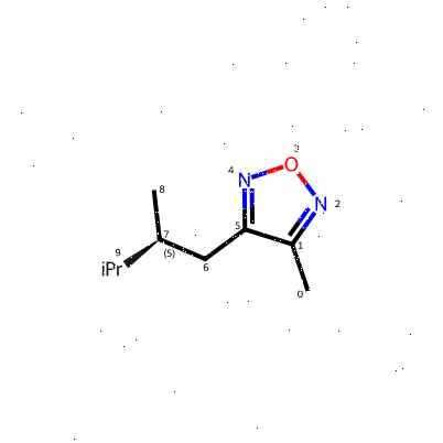 Cc1nonc1C[C@H](C)C(C)C